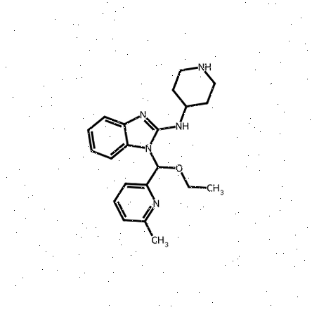 CCOC(c1cccc(C)n1)n1c(NC2CCNCC2)nc2ccccc21